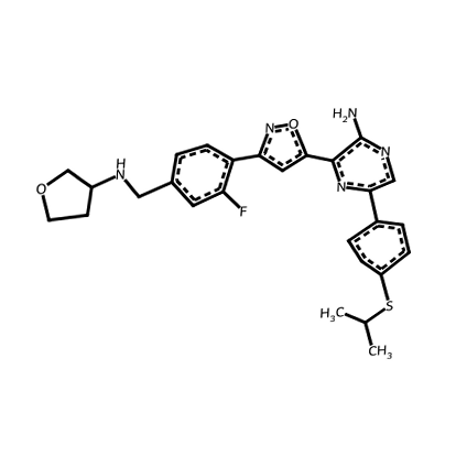 CC(C)Sc1ccc(-c2cnc(N)c(-c3cc(-c4ccc(CNC5CCOC5)cc4F)no3)n2)cc1